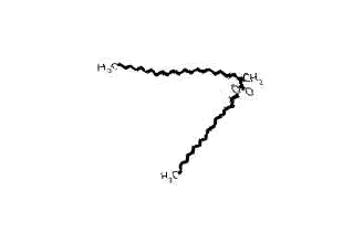 C=C(CCCCCCCCCCCCCCCCCCCCCC)C(=O)OCCCCCCCCCCCCCCCCCC